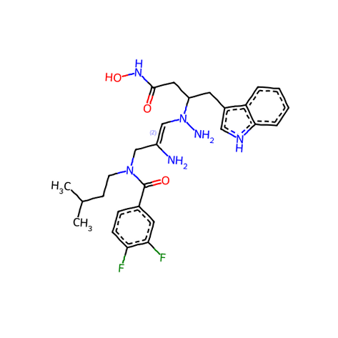 CC(C)CCN(C/C(N)=C/N(N)C(CC(=O)NO)Cc1c[nH]c2ccccc12)C(=O)c1ccc(F)c(F)c1